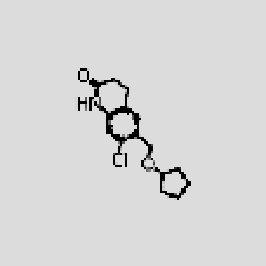 O=C1CCc2cc(COC3CCCC3)c(Cl)cc2N1